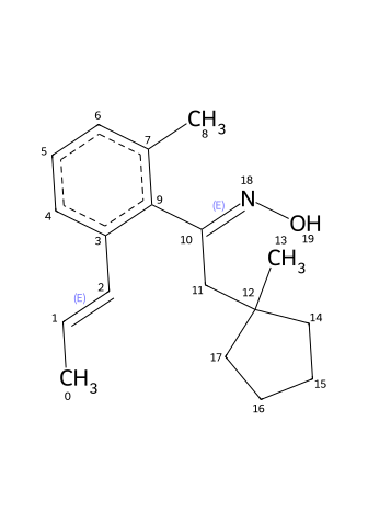 C/C=C/c1cccc(C)c1/C(CC1(C)CCCC1)=N/O